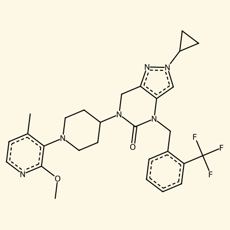 COc1nccc(C)c1N1CCC(N2Cc3nn(C4CC4)cc3N(Cc3ccccc3C(F)(F)F)C2=O)CC1